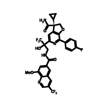 COc1cc(C(=O)NC[C@](O)(c2cc3c(c(-c4ccc(F)cc4)n2)OC[C@@]3(C(N)=O)C2CC2)C(F)(F)F)cc2cc(C(F)(F)F)cnc12